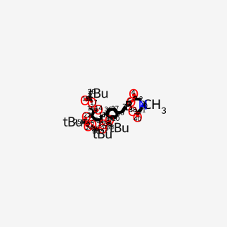 CN1CC(=O)OB(C=Cc2ccc([C@H]3O[C@H](COC(=O)C(C)(C)C)[C@@H](OC(=O)C(C)(C)C)[C@H](OC(=O)C(C)(C)C)[C@@H]3OC(=O)C(C)(C)C)cc2)OC(=O)C1